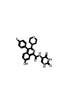 O=C(Nc1c[nH]c(=O)[nH]c1=O)c1nc(C2CCOCC2)c(-c2ccc(F)cc2)c2ccc(O)cc12